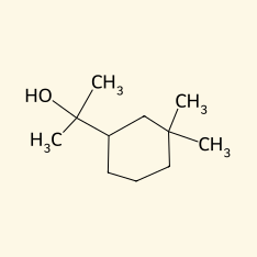 CC1(C)CCCC(C(C)(C)O)C1